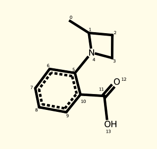 CC1CCN1c1ccccc1C(=O)O